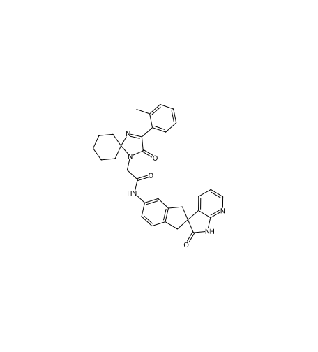 Cc1ccccc1C1=NC2(CCCCC2)N(CC(=O)Nc2ccc3c(c2)CC2(C3)C(=O)Nc3ncccc32)C1=O